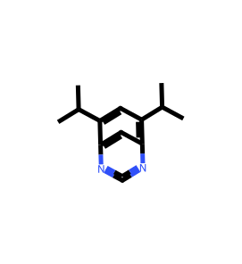 CC(C)c1cc(C(C)C)c2cc1N=C=N2